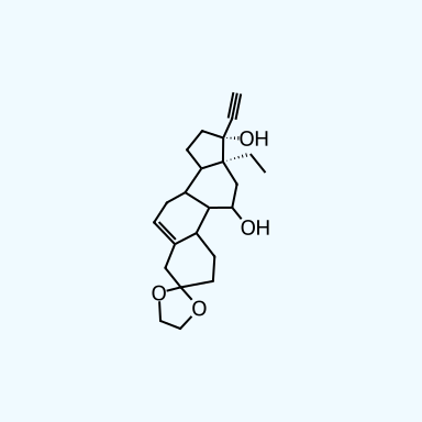 C#C[C@]1(O)CCC2C3CC=C4CC5(CCC4C3C(O)C[C@@]21CC)OCCO5